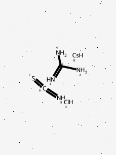 Cl.N=C(N)N.N=C=S.[CsH]